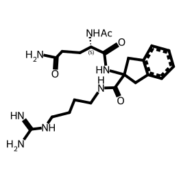 CC(=O)N[C@@H](CCC(N)=O)C(=O)NC1(C(=O)NCCCCNC(=N)N)Cc2ccccc2C1